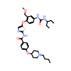 CCCCN1CCC(Oc2ccc(C(=O)Nc3ncc(Oc4ccc(NC(=O)NC(CC)CC)cc4COC)s3)cc2)CC1